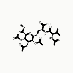 COC(=O)[C@H]1O[C@@H](OC[C@H](NC(=O)[C@@H](NC(C)=O)C(C)C)C(=O)O)[C@H](OC(C)=O)[C@@H](OC(C)=O)[C@@H]1OC(C)=O